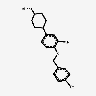 CCCCCCCC1CCC(c2ccc(SCc3ccc(CC)cc3)c(C#N)c2)CC1